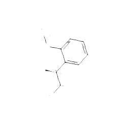 COc1ccccc1[C@H](C)CO